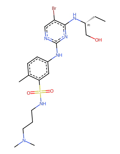 CC[C@H](CO)Nc1nc(Nc2ccc(C)c(S(=O)(=O)NCCCN(C)C)c2)ncc1Br